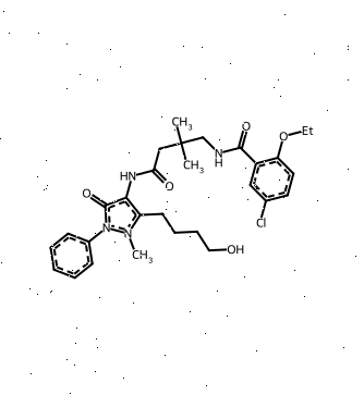 CCOc1ccc(Cl)cc1C(=O)NCC(C)(C)CC(=O)Nc1c(CCCCO)n(C)n(-c2ccccc2)c1=O